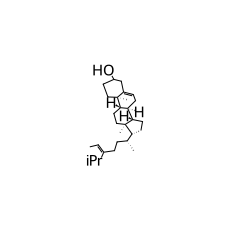 CC=C(CC[C@@H](C)[C@H]1CC[C@H]2[C@@H]3CC=C4CC(O)CC[C@]4(C)[C@H]3CC[C@]12C)C(C)C